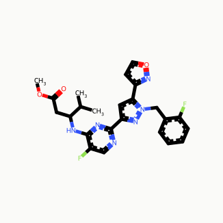 COC(=O)CC(Nc1nc(-c2cc(-c3ccon3)n(Cc3ccccc3F)n2)ncc1F)C(C)C